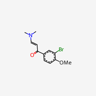 COc1ccc(C(=O)C=CN(C)C)cc1Br